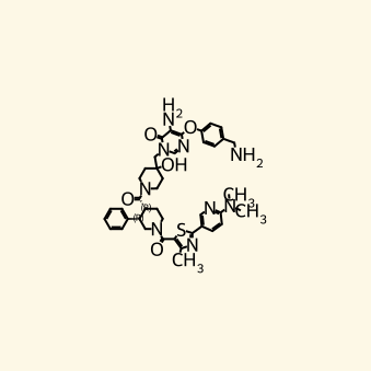 Cc1nc(-c2ccc(N(C)C)nc2)sc1C(=O)N1CC[C@@H](C(=O)N2CCC(O)(Cn3cnc(Oc4ccc(CN)cc4)c(N)c3=O)CC2)[C@H](c2ccccc2)C1